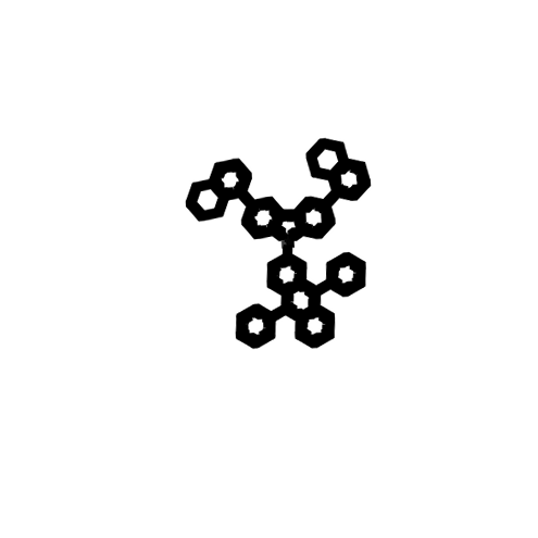 c1ccc(-c2c3ccccc3c(-c3ccccc3)c3cc(-n4c5ccc(-c6cccc7c6CCCC7)cc5c5cc(-c6cccc7c6CCCC7)ccc54)ccc23)cc1